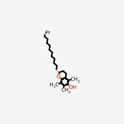 Cc1c(C)c2c(c(C)c1O)CC[C@@H](CCCCCCCCCCCC(C)C)O2